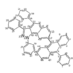 c1ccc(-c2c3ccccc3c(-c3ccc4cc(-c5ccccc5)c5c(-c6ccccc6)nn(-c6ccccc6)c5c4c3)c3ccccc23)cc1